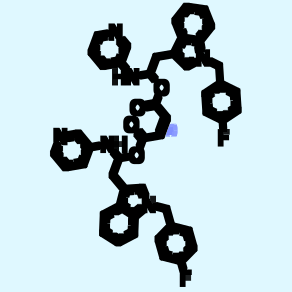 O=C(/C=C\C(=O)OC(Cc1cn(Cc2ccc(F)cc2)c2ccccc12)Nc1cccnc1)OC(Cc1cn(Cc2ccc(F)cc2)c2ccccc12)Nc1cccnc1